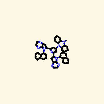 CN1c2ccccc2N(c2cc(-c3cc4nccnc4n3-c3cccc4ccccc34)nc(-c3cc4nccnc4n3-c3cccc4ccccc34)c2)c2ccccc21